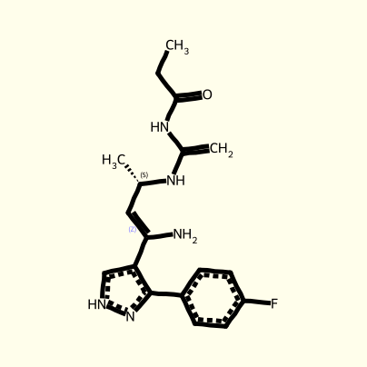 C=C(NC(=O)CC)N[C@@H](C)/C=C(\N)c1c[nH]nc1-c1ccc(F)cc1